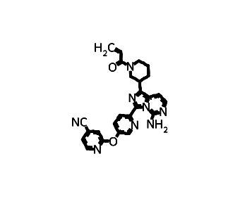 C=CC(=O)N1CCCC(c2nc(-c3ccc(Oc4cc(C#N)ccn4)cn3)n3c(N)nccc23)C1